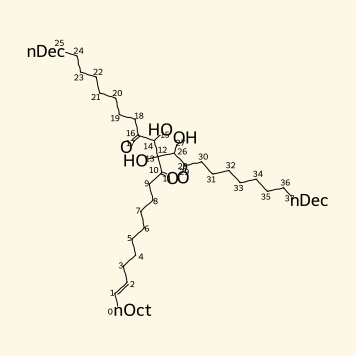 CCCCCCCCC=CCCCCCCCC(=O)C(O)(C(O)C(=O)CCCCCCCCCCCCCCCCC)C(O)C(=O)CCCCCCCCCCCCCCCCC